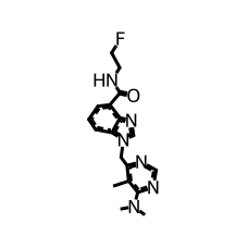 Cc1c(Cn2cnc3c(C(=O)NCCF)cccc32)ncnc1N(C)C